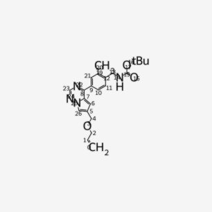 C=CCOCc1cc2c(-c3ccc(CNC(=O)OC(C)(C)C)c(C)c3)ncnn2c1